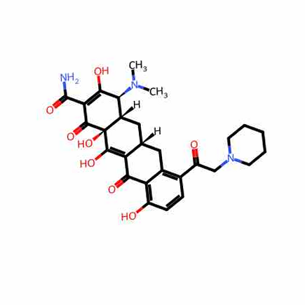 CN(C)[C@@H]1C(O)=C(C(N)=O)C(=O)[C@@]2(O)C(O)=C3C(=O)c4c(O)ccc(C(=O)CN5CCCCC5)c4C[C@H]3C[C@@H]12